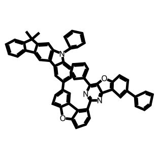 CC1(C)c2ccccc2-c2cc3c4cc(-c5ccc6oc7cccc(-c8nc(-c9ccccc9)c9oc%10ccc(-c%11ccccc%11)cc%10c9n8)c7c6c5)ccc4n(-c4ccccc4)c3cc21